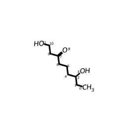 CCC(O)CCCC(=O)CCO